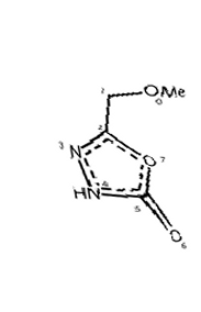 COCc1n[nH]c(=O)o1